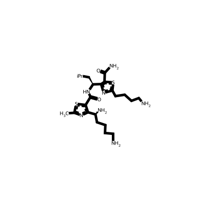 Cc1nc([C@@H](N)CCCCN)c(C(=O)N[C@@H](CC(C)C)c2nc(CCCCN)sc2C(N)=O)s1